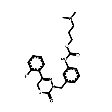 CN(C)CCCOC(=O)Nc1cccc(CN2N=C(c3ccccc3F)CSC2=O)c1